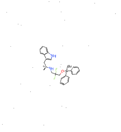 C[C@@H](Cc1c[nH]c2ccccc12)NCC(F)(F)CO[Si](c1ccccc1)(c1ccccc1)C(C)(C)C